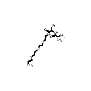 CC(C)[C@@H](NC(=O)[C@@H](C)N)C(=O)NCCOCCOCCOCCN